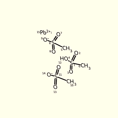 CS(=O)(=O)O.CS(=O)(=O)[O-].CS(=O)(=O)[O-].[Pb+2]